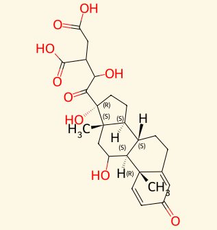 C[C@]12C=CC(=O)C=C1CC[C@@H]1[C@@H]2C(O)C[C@@]2(C)[C@H]1CC[C@]2(O)C(=O)C(O)C(CC(=O)O)C(=O)O